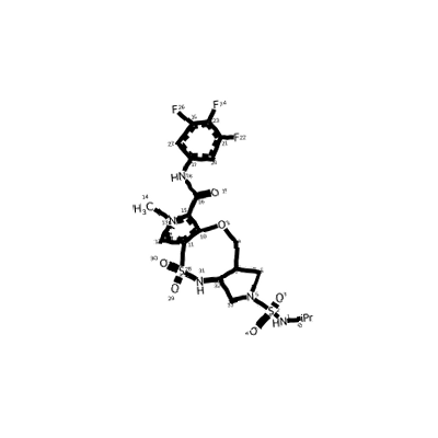 CC(C)NS(=O)(=O)N1CC2COc3c(cn(C)c3C(=O)Nc3cc(F)c(F)c(F)c3)S(=O)(=O)NC2C1